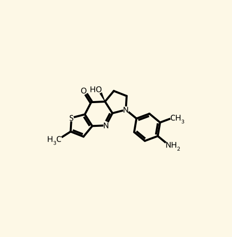 Cc1cc2c(s1)C(=O)[C@]1(O)CCN(c3ccc(N)c(C)c3)C1=N2